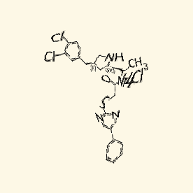 CC(NC(=O)CSc1ncc(-c2ccccc2)cn1)[C@H]1C[C@@H](Cc2ccc(Cl)c(Cl)c2)CN1.Cl